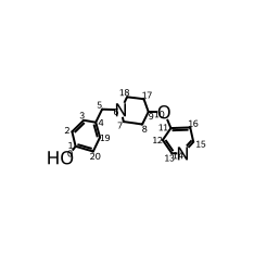 Oc1ccc(CN2CCC(Oc3ccncc3)CC2)cc1